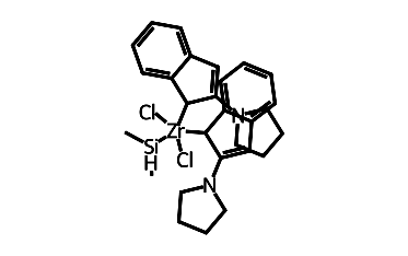 C[SiH](C)[Zr]([Cl])([Cl])([CH]1C(N2CCCC2)=Cc2ccccc21)[CH]1C(N2CCCC2)=Cc2ccccc21